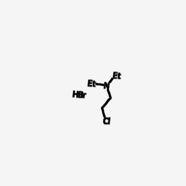 Br.CCN(CC)CCCl